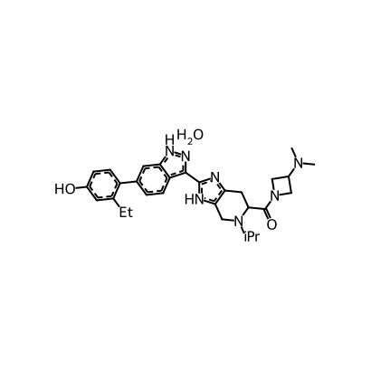 CCc1cc(O)ccc1-c1ccc2c(-c3nc4c([nH]3)CN(C(C)C)C(C(=O)N3CC(N(C)C)C3)C4)n[nH]c2c1.O